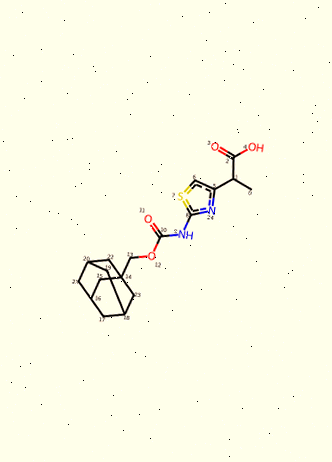 CC(C(=O)O)c1csc(NC(=O)OCC23CC4CC(CC(C4)C2)C3)n1